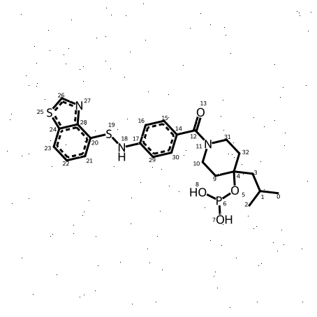 CC(C)CC1(OP(O)O)CCN(C(=O)c2ccc(NSc3cccc4scnc34)cc2)CC1